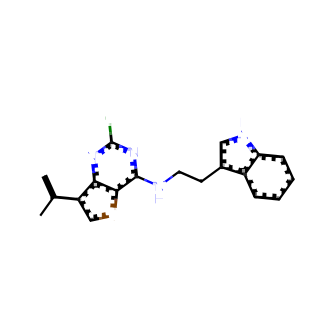 C=C(C)c1csc2c(NCCc3c[nH]c4ccccc34)nc(Cl)nc12